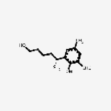 Cc1cc(C=O)c(O)c([C@H](N)CCCCO)c1